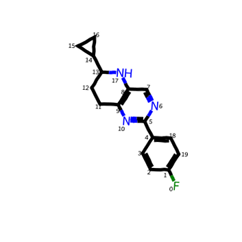 Fc1ccc(-c2ncc3c(n2)CCC(C2CC2)N3)cc1